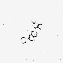 C[C@@H]1CN(c2cnc3c(c2)CN(c2nc(Cl)nc4c2COC4)CC3)CCO1